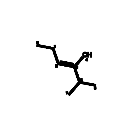 CCC=C(O)C(C)C